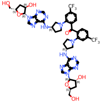 O=C(c1ccc(C(F)(F)F)cc1N1CC[C@@H](Nc2ncnc3c2ncn3[C@@H]2O[C@H](CO)C[C@H]2O)C1)c1ccc(C(F)(F)F)cc1N1CC[C@@H](Nc2ncnc3c2ncn3[C@@H]2O[C@H](CO)C[C@H]2O)C1